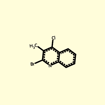 Cc1c(Br)nc2ccccc2c1Cl